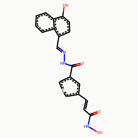 O=C(/C=C/c1cccc(C(=O)N/N=C/c2ccc(O)c3ccccc23)c1)NO